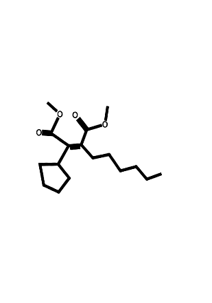 CCCCCC/C(C(=O)OC)=C(/C(=O)OC)C1CCCC1